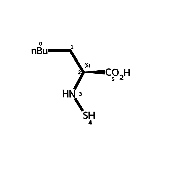 CCCCC[C@H](NS)C(=O)O